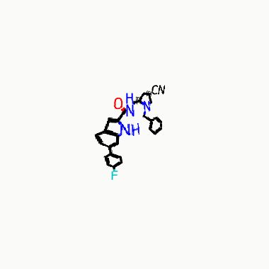 N#C[C@H]1C[C@H](CNC(=O)c2cc3ccc(-c4ccc(F)cc4)cc3[nH]2)N(Cc2ccccc2)C1